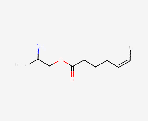 CC/C=C\CCCC(=O)OCC(N)C(=O)O